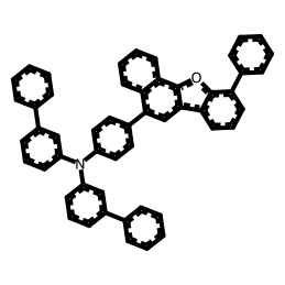 c1ccc(-c2cccc(N(c3ccc(-c4cc5c6cccc(-c7ccccc7)c6oc5c5ccccc45)cc3)c3cccc(-c4ccccc4)c3)c2)cc1